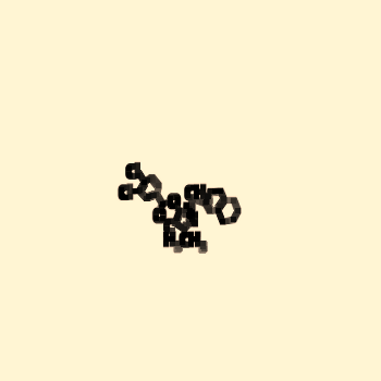 Cc1nn(C(C)c2ccc3c(c2)CCCC3)c(OC(=O)c2ccc(Cl)c(Cl)c2)c1C